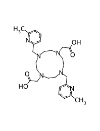 Cc1cccc(CN2CCN(CC(=O)O)CCN(Cc3cccc(C)n3)CCN(CC(=O)O)CC2)n1